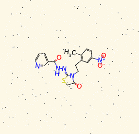 Cc1ccc([N+](=O)[O-])cc1CCN1C(=O)CSC1=NNC(=O)c1cccnc1